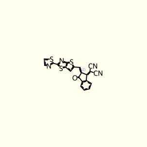 N#CC(C#N)=C1/C(=C/c2cc3sc(-c4nccs4)nc3s2)C(=O)c2ccccc21